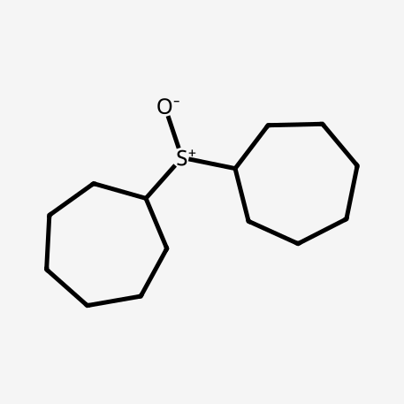 [O-][S+](C1CCCCCC1)C1CCCCCC1